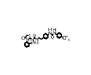 CC(C)c1ccccc1N1C(=O)CSC1=NC(=O)NCCc1ccc(NC(=O)Nc2ccc(C(F)(F)F)cc2)cc1